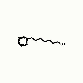 OCCCCCCSc1cccnc1